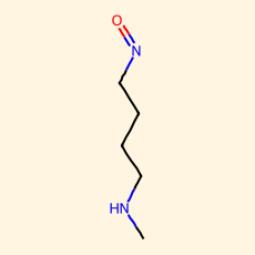 CNCCCCN=O